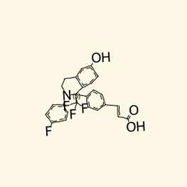 O=C(O)C=Cc1ccc([C@@]2(C(F)(F)F)c3ccc(O)cc3CCN2c2ccc(F)cc2)cc1